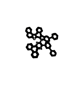 c1ccc(-c2cccc(-c3nc4c5ccccc5c5ccccc5c4nc3-n3c4ccc(-c5ccccc5)cc4c4c5ccccc5c5c(oc6ccc7ccccc7c65)c43)c2)cc1